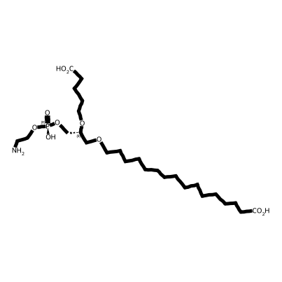 NCCO[P@@](=O)(O)OC[C@@H](COCCCCCCCCCCCCCCCC(=O)O)OCCCCC(=O)O